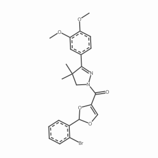 COc1ccc(C2=NN(C(=O)C3=COC(c4ccccc4Br)O3)CC2(C)C)cc1OC